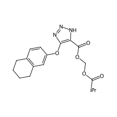 CC(C)C(=O)OCOC(=O)c1[nH]nnc1Oc1ccc2c(c1)CCCC2